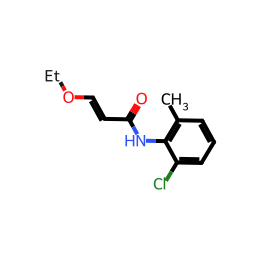 CCOC=CC(=O)Nc1c(C)cccc1Cl